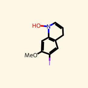 COc1cc2c(cc1I)CC=CN2O